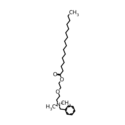 CCCCCCCCCCCCCCCC(=O)OCCOCC[N+](C)(C)Cc1ccccc1